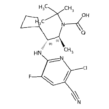 C[C@@H]([C@H](Nc1nc(Cl)c(C#N)cc1F)C1CCC1)N(C(=O)O)C(C)(C)C